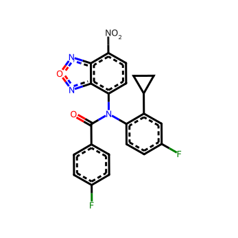 O=C(c1ccc(F)cc1)N(c1ccc(F)cc1C1CC1)c1ccc([N+](=O)[O-])c2nonc12